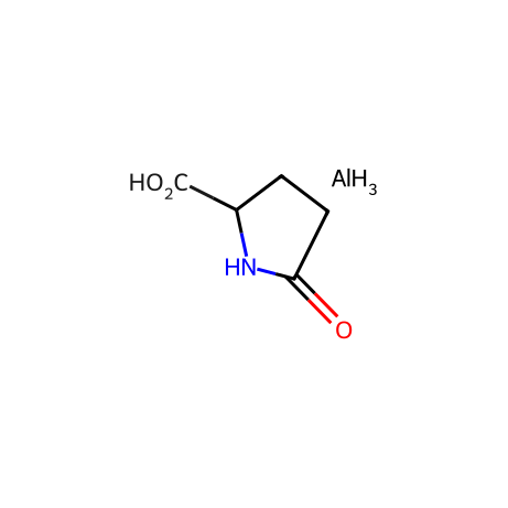 O=C1CCC(C(=O)O)N1.[AlH3]